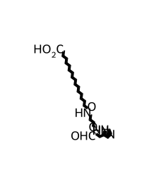 O=CC(Cc1cnc[nH]1)NOCCCNC(=O)CCCCCCCCCCCCCCCCC(=O)O